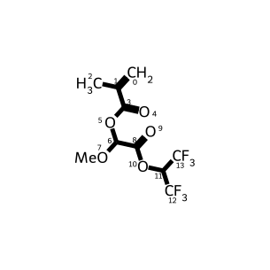 C=C(C)C(=O)OC(OC)C(=O)OC(C(F)(F)F)C(F)(F)F